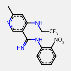 Cc1cc(NCC(F)(F)F)c(C(=N)Nc2ccccc2[N+](=O)[O-])cn1